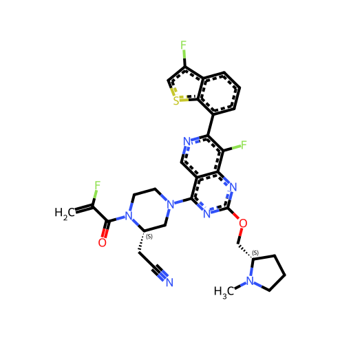 C=C(F)C(=O)N1CCN(c2nc(OC[C@@H]3CCCN3C)nc3c(F)c(-c4cccc5c(F)csc45)ncc23)C[C@@H]1CC#N